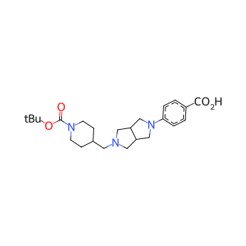 CC(C)(C)OC(=O)N1CCC(CN2CC3CN(c4ccc(C(=O)O)cc4)CC3C2)CC1